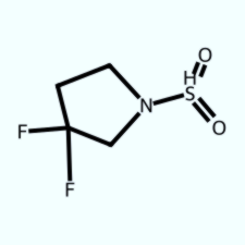 O=[SH](=O)N1CCC(F)(F)C1